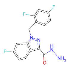 NNC(=O)c1nn(Cc2ccc(F)cc2F)c2cc(F)ccc12